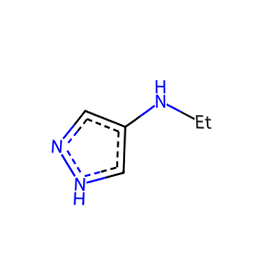 CCNc1cn[nH]c1